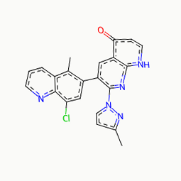 Cc1ccn(-c2nc3[nH]ccc(=O)c3cc2-c2cc(Cl)c3ncccc3c2C)n1